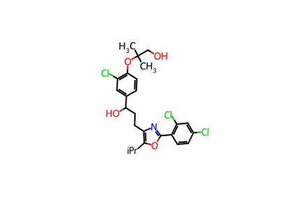 CC(C)c1oc(-c2ccc(Cl)cc2Cl)nc1CCC(O)c1ccc(OC(C)(C)CO)c(Cl)c1